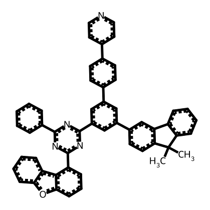 CC1(C)c2ccccc2-c2cc(-c3cc(-c4ccc(-c5ccncc5)cc4)cc(-c4nc(-c5ccccc5)nc(-c5cccc6oc7ccccc7c56)n4)c3)ccc21